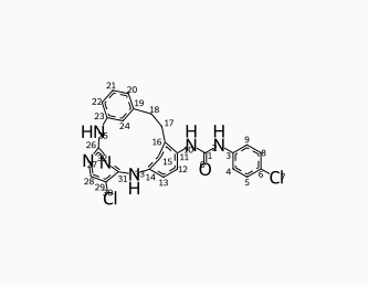 O=C(Nc1ccc(Cl)cc1)Nc1ccc2cc1CCc1cccc(c1)Nc1ncc(Cl)c(n1)N2